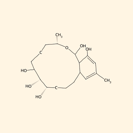 CC1=CC2CCC[C@H](O)[C@H](O)C(O)CCC[C@H](C)OC(O)C2C(O)=C1